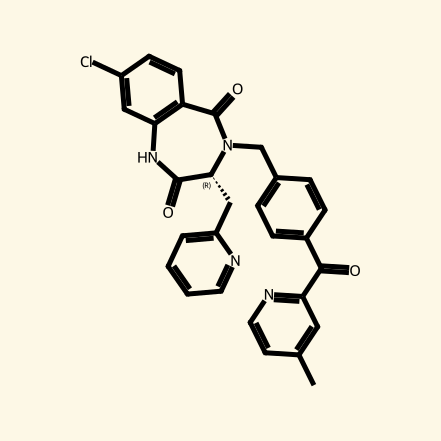 Cc1ccnc(C(=O)c2ccc(CN3C(=O)c4ccc(Cl)cc4NC(=O)[C@H]3Cc3ccccn3)cc2)c1